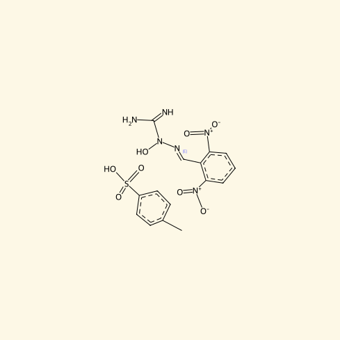 Cc1ccc(S(=O)(=O)O)cc1.N=C(N)N(O)/N=C/c1c([N+](=O)[O-])cccc1[N+](=O)[O-]